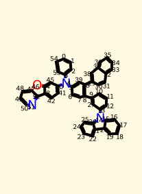 c1ccc(N(c2ccc(-c3cccc(-n4c5ccccc5c5ccccc54)c3)c(-c3ccc4ccccc4c3)c2)c2ccc3c(c2)oc2cccnc23)cc1